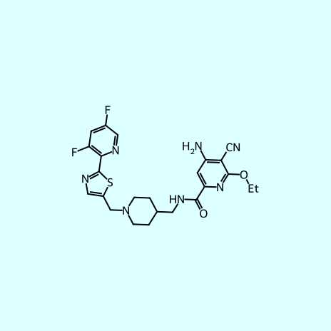 CCOc1nc(C(=O)NCC2CCN(Cc3cnc(-c4ncc(F)cc4F)s3)CC2)cc(N)c1C#N